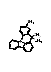 CC1(C)c2cc(N)ccc2-n2c3ccccc3c3cccc1c32